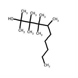 CCCCCC(C)C(C)(C)C(C)(C)C(C)(C)O